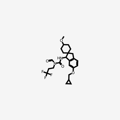 COC1CCC2(CC1)Cc1ccc(OCC3CC3)cc1C2NC(=O)N(C=O)CCC(F)(F)F